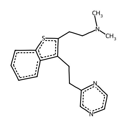 CN(C)CCc1sc2ccccc2c1CCc1cnccn1